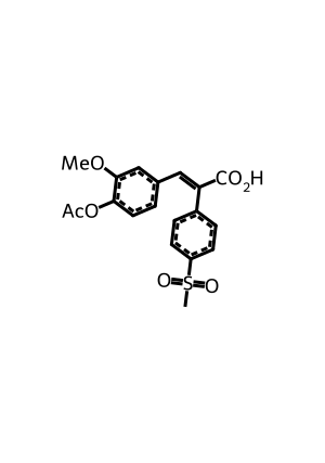 COc1cc(/C=C(/C(=O)O)c2ccc(S(C)(=O)=O)cc2)ccc1OC(C)=O